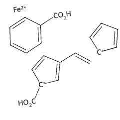 C=Cc1cc[c-](C(=O)O)c1.O=C(O)c1ccccc1.[Fe+2].c1cc[cH-]c1